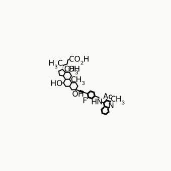 CC(=O)c1c(C)nc2ccccc2c1NCc1ccc(C#C[C@@]2(O)CC[C@@]3(C)C(C[C@@H](O)C4C3C[C@H](O)[C@@]3(C)C4CC[C@@H]3C(C)CCC(=O)O)C2)c(F)c1